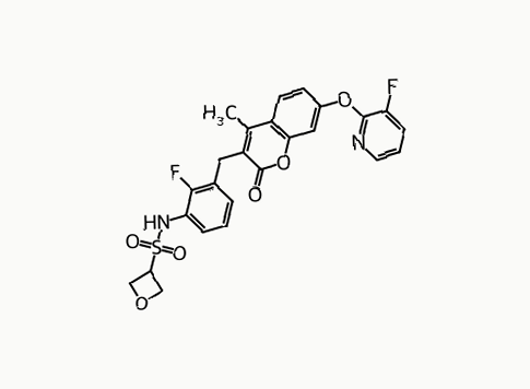 Cc1c(Cc2cccc(NS(=O)(=O)C3COC3)c2F)c(=O)oc2cc(Oc3ncccc3F)ccc12